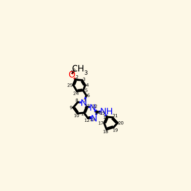 COc1ccc(CN2CC=Cc3cnc(Nc4ccccc4)nc32)cc1